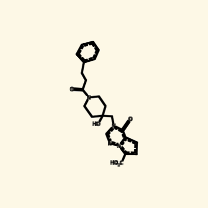 O=C(O)c1ccc2c(=O)n(CC3(O)CCN(C(=O)CCc4ccccc4)CC3)cnn12